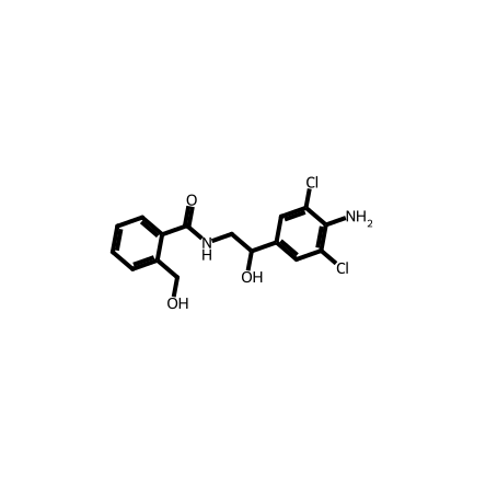 Nc1c(Cl)cc(C(O)CNC(=O)c2ccccc2CO)cc1Cl